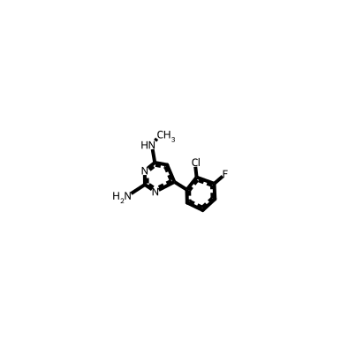 CNc1cc(-c2cccc(F)c2Cl)nc(N)n1